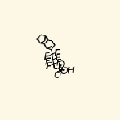 O=S(=O)(O)CC(F)(F)C(F)(F)C(F)(F)C1CC2CC1C1C3CCC(C3)C21